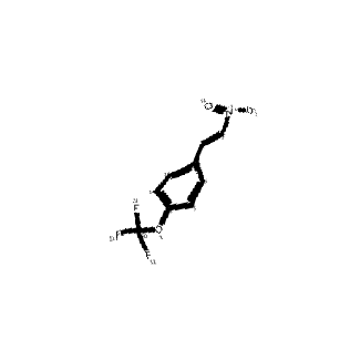 O=[N+]([O-])C=Cc1ccc(OC(F)(F)F)cc1